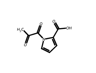 CC(=O)C(=O)n1cccc1C(=O)O